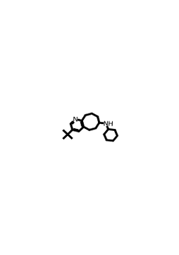 CC(C)(C)c1cnc2c(c1)CCC(NC1CCCCC1)CCC2